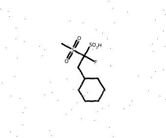 CS(=O)(=O)C(F)(CC1CCCCC1)S(=O)(=O)O